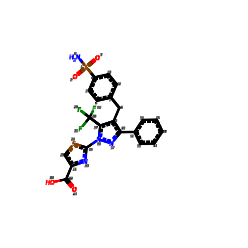 NS(=O)(=O)c1ccc(Cc2c(-c3ccccc3)nn(-c3nc(C(=O)O)cs3)c2C(F)(F)F)cc1